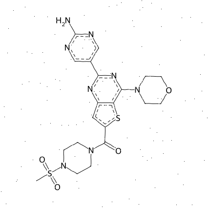 CS(=O)(=O)N1CCN(C(=O)c2cc3nc(-c4cnc(N)nc4)nc(N4CCOCC4)c3s2)CC1